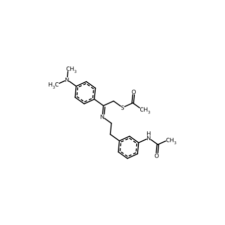 CC(=O)Nc1cccc(CC/N=C(\CSC(C)=O)c2ccc(N(C)C)cc2)c1